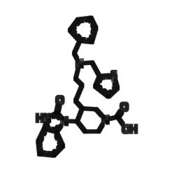 O=C(O)N1CCC(n2c(=O)[nH]c3ccccc32)C(CCCN(Cc2ccccc2)Cc2cccs2)C1